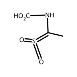 CC(NC(=O)O)=S(=O)=O